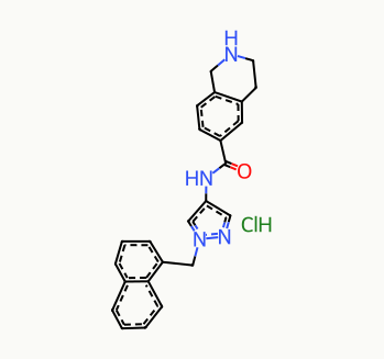 Cl.O=C(Nc1cnn(Cc2cccc3ccccc23)c1)c1ccc2c(c1)CCNC2